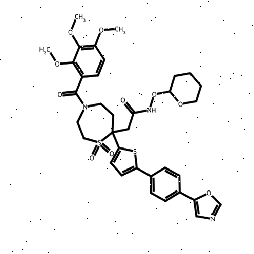 COc1ccc(C(=O)N2CCC(CC(=O)NOC3CCCCO3)(c3ccc(-c4ccc(-c5cnco5)cc4)s3)S(=O)(=O)CC2)c(OC)c1OC